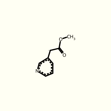 COC(=O)[CH]c1cccnc1